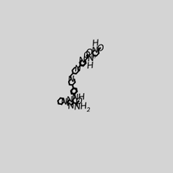 NC(=O)c1ncc(N2CCCCC2)nc1Nc1ccc(C2CCN(CC3CCN(c4ccc(C(=O)N[C@H]5CCC(=O)NC5=O)nc4)CC3)CC2)cc1